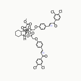 COC(=O)C(=O)OP1(OC(=O)COc2ccc(/C=C/C(=O)c3ccc(Cl)c(Cl)c3)cc2)(OC(=O)COc2ccc(/C=C/C(=O)c3ccc(Cl)c(Cl)c3)cc2)NC2CCCCC2N1